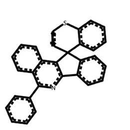 c1ccc(-c2nc3c(c4ccccc24)C2(c4ccccc4Sc4ccccc42)c2ccccc2-3)cc1